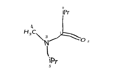 CC(C)C(=O)N(C)C(C)C